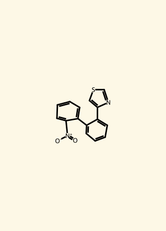 O=[N+]([O-])c1ccccc1-c1ccccc1-c1cscn1